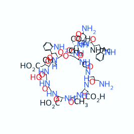 CC(=O)N[C@@H](Cc1c[nH]c2ccccc12)C(=O)N[C@H](CC(N)=O)C(=O)N[C@@H](CC(=O)O)C(=O)N[C@@H]1C(=O)NCC(=O)N[C@@H](CCCN)C(=O)N[C@@H](CC(=O)O)C(=O)N[C@H](C)C(=O)N[C@@H](CC(=O)O)C(=O)NCC(=O)N[C@H](CO)C(=O)N[C@@H]([C@H](C)CC(=O)O)C(=O)N[C@@H](CC(=O)c2ccccc2N)C(=O)O[C@@H]1C